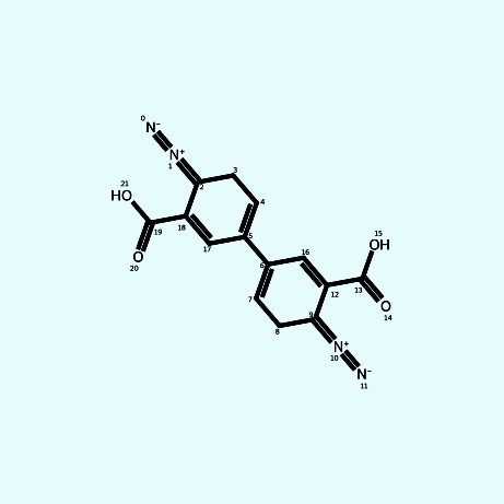 [N-]=[N+]=C1CC=C(C2=CCC(=[N+]=[N-])C(C(=O)O)=C2)C=C1C(=O)O